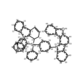 C1=Cc2c(n(-c3ccccc3)c3ccccc23)C([Si](c2ccccc2)(c2ccccc2)c2ccc(-n3c4ccccc4c4ccc5oc6ccccc6c5c43)cc2)C1